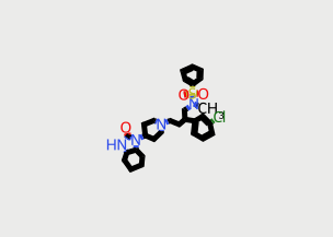 CN(CC(CCN1CCC(N2C(=O)NC3CCCCC32)CC1)c1cccc(Cl)c1)S(=O)(=O)c1ccccc1